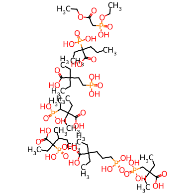 CCC(C)C(CC)(C(=O)O)P(=O)(O)O.CCC(CC)(C(=O)O)C(C)P(=O)(O)O.CCC(CC)(CCCP(=O)(O)O)C(=O)O.CCC(CC)(CCP(=O)(O)O)C(=O)O.CCC(CC)(CP(=O)(O)O)C(=O)O.CCCC(CC)(C(=O)O)P(=O)(O)O.CCOC(=O)CP(=O)(O)OCC